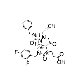 C#CCN1CC(=O)C2[C@@H](CCC(=O)O)C(=O)N(Cc3ccc(F)cc3F)C[C@@H]2N1C(=O)NCc1ccccc1